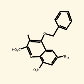 Cc1c(C(=O)O)nc2c([N+](=O)[O-])cc(N)cc2c1OCc1ccccc1